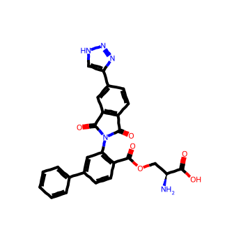 N[C@@H](COC(=O)c1ccc(-c2ccccc2)cc1N1C(=O)c2ccc(-c3c[nH]nn3)cc2C1=O)C(=O)O